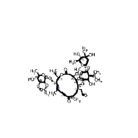 CC[C@H]1OC(=O)C[C@@H](O)[C@H](C)[C@@H](O[C@@H]2OC(C)[C@@H](O[C@H]3CC(C)(O)[C@@H](O)C(C)O3)C(N(C)C)C2O)[C@@H](CC=O)C[C@@H](C)C(=O)/C=C/C(C)=C/[C@@H]1CO[C@@H]1OC(C)[C@@H](O)[C@H](OC)C1OC